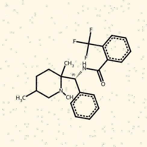 CC1CCC(C)([C@H](NC(=O)c2ccccc2C(F)(F)F)c2ccccc2)N(C)C1